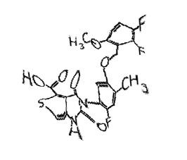 COc1ccc(F)c(F)c1COc1cc(-n2c(=O)[nH]c3csc(C(=O)O)c3c2=O)c(F)cc1C